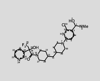 CNC(O)c1ccc(N2CCC(CC3CCN(C(=O)C(O)(c4cccnc4)C(F)(F)F)CC3)CC2)nc1Cl